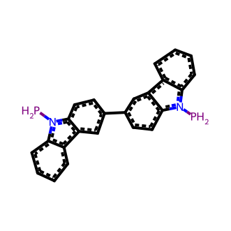 Pn1c2ccccc2c2cc(-c3ccc4c(c3)c3ccccc3n4P)ccc21